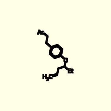 C=CCC(CC)Oc1ccc(CCC(C)=O)cc1